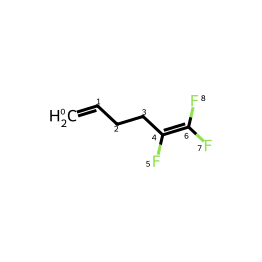 C=CCCC(F)=C(F)F